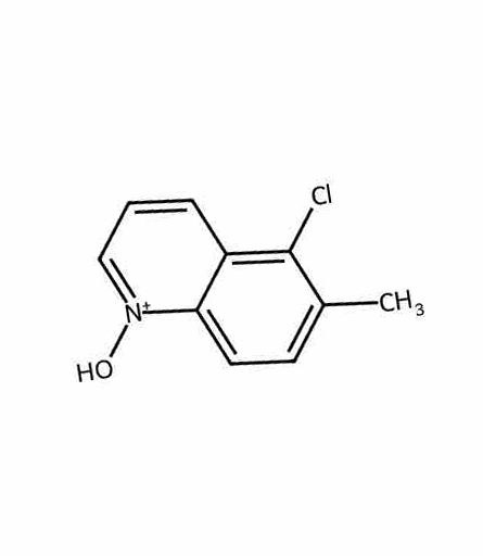 Cc1ccc2c(ccc[n+]2O)c1Cl